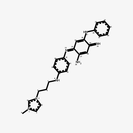 C[n+]1ccn(CCCNc2ccc(/N=C3/C=C(Nc4ccccc4)C(=N)C=C3N)cc2)c1